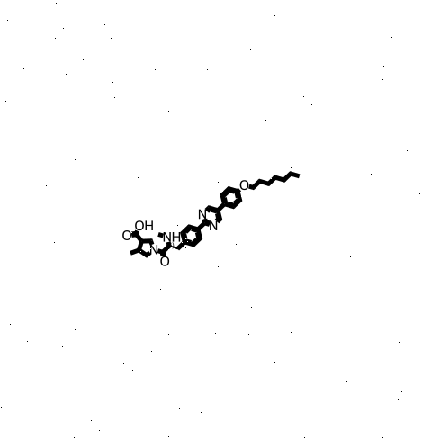 CCCCCCCOc1ccc(-c2cnc(-c3ccc(C[C@H](NC)C(=O)N4CC(C)C(C(=O)O)C4)cc3)nc2)cc1